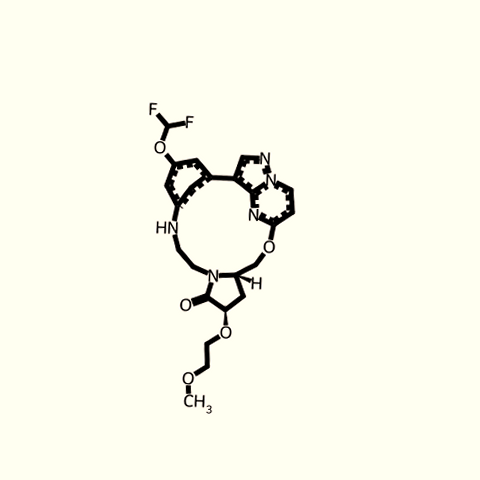 COCCO[C@@H]1C[C@H]2COc3ccn4ncc(c4n3)-c3cc(cc(OC(F)F)c3)NCCN2C1=O